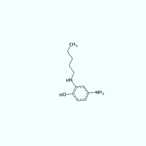 CCCCCNc1cc(N)ccc1O